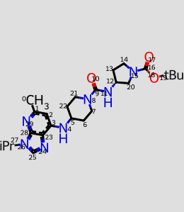 Cc1cc(NC2CCN(C(=O)N[C@H]3CCN(C(=O)OC(C)(C)C)C3)CC2)c2ncn(C(C)C)c2n1